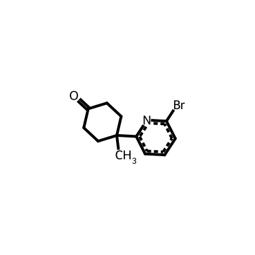 CC1(c2cccc(Br)n2)CCC(=O)CC1